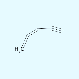 [C]#CC=C=C